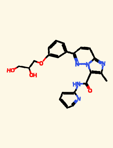 Cc1nc2ccc(-c3cccc(OCC(O)CO)c3)nn2c1C(=O)Nc1ccccn1